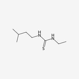 CCNC(=S)NCCC(C)C